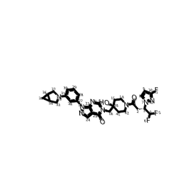 O=C(C[C@@H](C(F)F)n1ccc(F)n1)N1CCC(O)(Cn2cnc3c(cnn3-c3cccc(N4CC5CC5C4)c3)c2=O)CC1